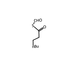 CCCCCCC(=O)SC=O